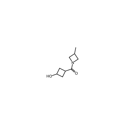 CC1CN(C(=O)C2CC(O)C2)C1